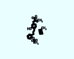 COC(=Cc1ccc(CCCc2ccccc2OS(C)(=O)=O)c(O)c1)C(=O)O.Cc1cc2ccc1-2